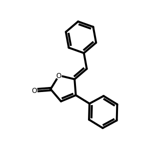 O=C1C=C(c2ccccc2)C(=Cc2ccccc2)O1